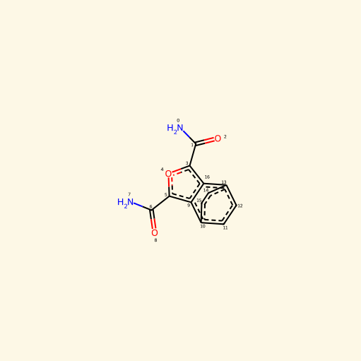 NC(=O)c1oc(C(N)=O)c2c3ccc(cc3)c12